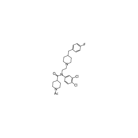 CC(=O)N1CCC(C(=O)N(CCN2CCC(Cc3ccc(F)cc3)CC2)c2ccc(Cl)c(Cl)c2)CC1